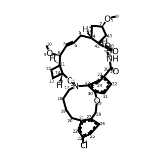 CO[C@@H]1C[C@H]2C/C=C/[C@H](OC)[C@@H]3CC[C@H]3CN3CCCCc4cc(Cl)ccc4COc4ccc(cc43)C(=O)NS(=O)(=O)[C@@H]2C1